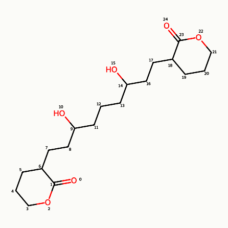 O=C1OCCCC1CCC(O)CCCC(O)CCC1CCCOC1=O